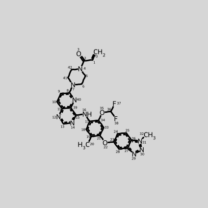 C=CC(=O)N1CCN(c2ccc3ncnc(Nc4cc(C)c(Oc5ccc6c(c5)nnn6C)cc4OC(F)F)c3n2)CC1